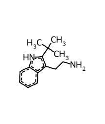 CC(C)(C)c1[nH]c2ccccc2c1CCN